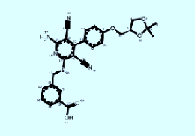 CC1(C)OC[C@H](COc2ccc(-c3c(C#N)c(N)nc(SCc4cccc(C(=O)O)c4)c3C#N)cc2)O1